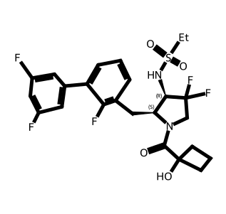 CCS(=O)(=O)N[C@@H]1[C@H](Cc2cccc(-c3cc(F)cc(F)c3)c2F)N(C(=O)C2(O)CCC2)CC1(F)F